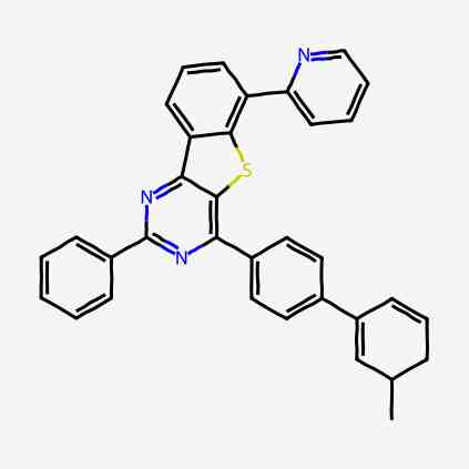 CC1C=C(c2ccc(-c3nc(-c4ccccc4)nc4c3sc3c(-c5ccccn5)cccc34)cc2)C=CC1